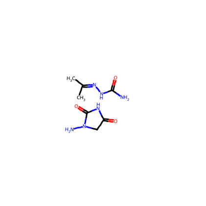 CC(C)=NNC(N)=O.NN1CC(=O)NC1=O